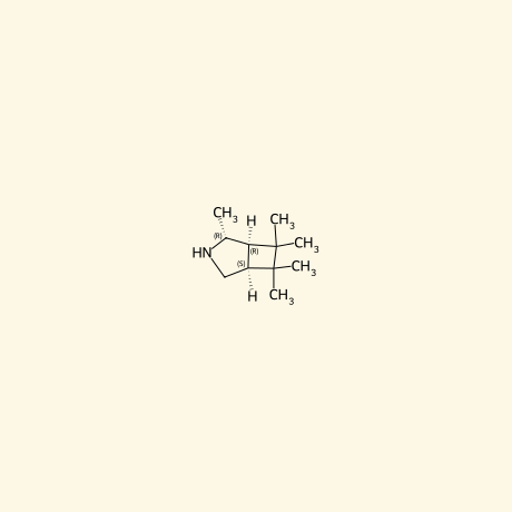 C[C@H]1NC[C@H]2[C@@H]1C(C)(C)C2(C)C